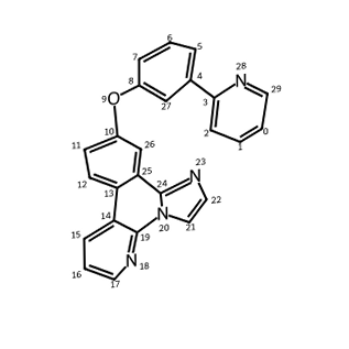 c1ccc(-c2cccc(Oc3ccc4c5cccnc5n5ccnc5c4c3)c2)nc1